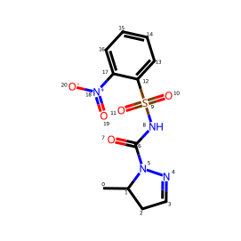 CC1CC=NN1C(=O)NS(=O)(=O)c1ccccc1[N+](=O)[O-]